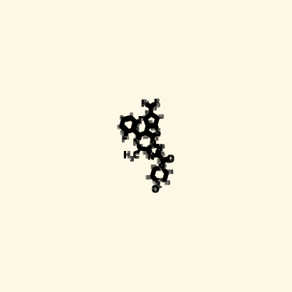 C[C@@H]1N=C(c2c(F)cccc2F)c2c(sc3c2CC(C(F)F)C3)-n2nc(C(=O)N3CC[S+]([O-])CC3)nc21